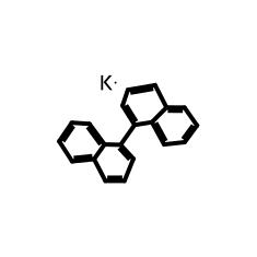 [K].c1ccc2c(-c3cccc4ccccc34)cccc2c1